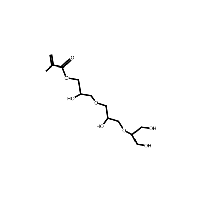 C=C(C)C(=O)OCC(O)COCC(O)COC(CO)CO